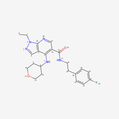 CCn1ncc2c(NC3CCOCC3)c(C(=O)NCCc3ccc(F)cc3)cnc21